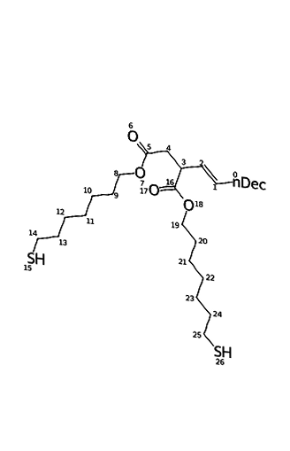 CCCCCCCCCCC=CC(CC(=O)OCCCCCCCS)C(=O)OCCCCCCCS